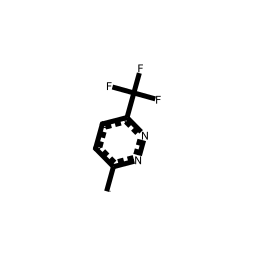 [CH2]c1ccc(C(F)(F)F)nn1